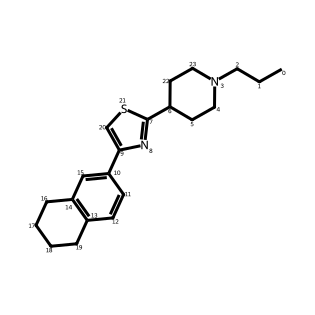 CCCN1CCC(c2nc(-c3ccc4c(c3)CCCC4)cs2)CC1